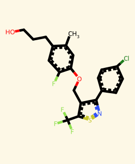 Cc1cc(OCc2c(-c3ccc(Cl)cc3)nsc2C(F)(F)F)c(F)cc1CCCO